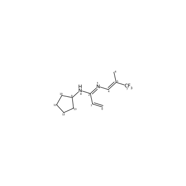 C=C/C(=N\C=C(/C)C(F)(F)F)NC1CCCC1